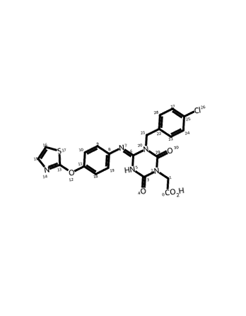 O=C(O)Cn1c(=O)[nH]/c(=N\c2ccc(Oc3nccs3)cc2)n(Cc2ccc(Cl)cc2)c1=O